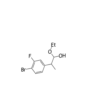 CCOC(O)C(C)c1ccc(Br)c(F)c1